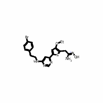 CCOc1cc(-c2cc(NCCc3ccc(Br)cc3)ncn2)sc1C/C(N)=N/O